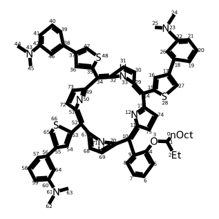 CCCCCCCCC(CC)Oc1ccccc1-c1c2nc(c(-c3cc(-c4cccc(N(C)C)c4)cs3)c3ccc([nH]3)c(-c3cc(-c4cccc(N(C)C)c4)cs3)c3nc(c(-c4cc(-c5cccc(N(C)C)c5)cs4)c4ccc1[nH]4)C=C3)C=C2